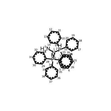 NN([PH](c1ccccc1)(c1ccccc1)c1ccccc1)[PH](c1ccccc1)(c1ccccc1)c1ccccc1